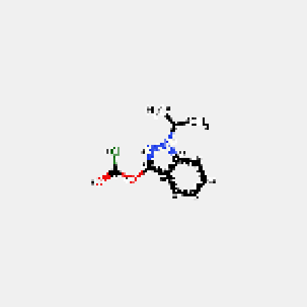 CC(C)n1nc(OC(=O)Cl)c2ccccc21